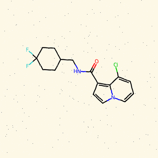 O=C(NCC1CCC(F)(F)CC1)c1ccn2cccc(Cl)c12